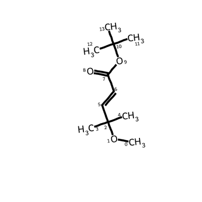 COC(C)(C)C=CC(=O)OC(C)(C)C